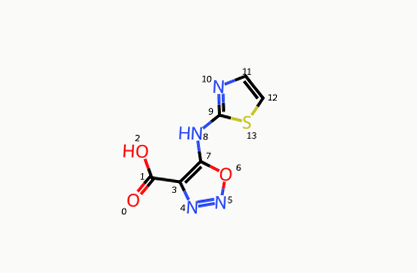 O=C(O)c1nnoc1Nc1nccs1